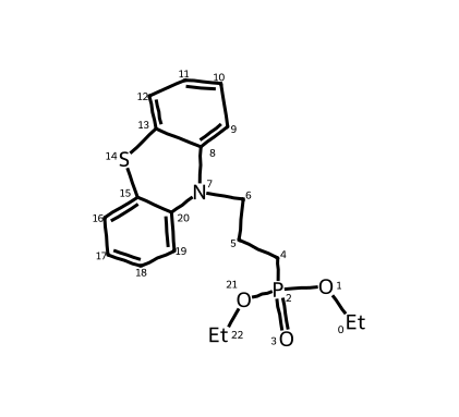 CCOP(=O)(CCCN1c2ccccc2Sc2ccccc21)OCC